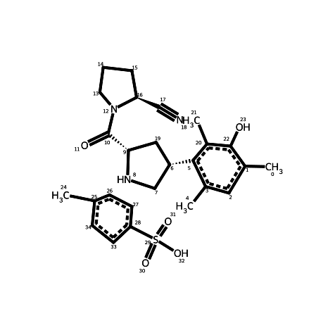 Cc1cc(C)c([C@@H]2CN[C@H](C(=O)N3CCC[C@H]3C#N)C2)c(C)c1O.Cc1ccc(S(=O)(=O)O)cc1